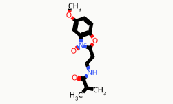 COc1ccc2c(c1)[N+](=O)C(CCNC(=O)C(C)C)O2